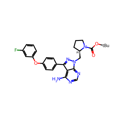 CC(C)(C)OC(=O)N1CCC[C@@H]1Cn1nc(-c2ccc(Oc3cccc(F)c3)cc2)c2c(N)ncnc21